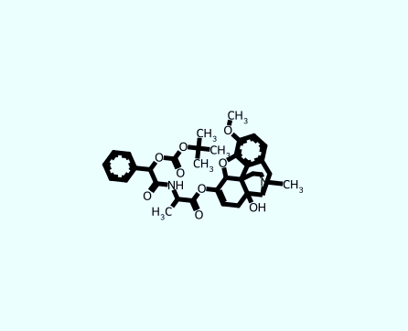 COc1ccc2c3c1OC1C(OC(=O)C(C)NC(=O)C(OC(=O)OC(C)(C)C)c4ccccc4)=CCC4(O)C(C2)N(C)CCC314